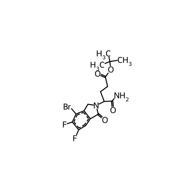 CC(C)(C)OC(=O)CCC(C(N)=O)N1Cc2c(cc(F)c(F)c2Br)C1=O